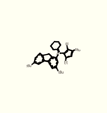 CCC1=[C]([Zr](=[C]2CCCCC2)[c]2cc(C(C)(C)C)cc3c2Cc2ccc(C(C)(C)C)cc2-3)C(CC)C=C1C(C)(C)C